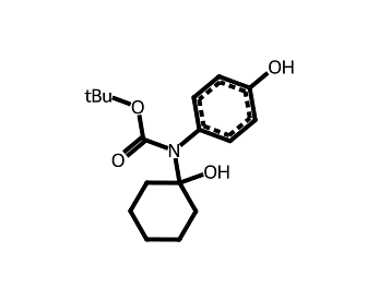 CC(C)(C)OC(=O)N(c1ccc(O)cc1)C1(O)CCCCC1